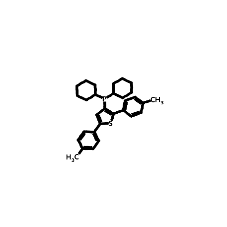 Cc1ccc(-c2cc(P(C3CCCCC3)C3CCCCC3)c(-c3ccc(C)cc3)s2)cc1